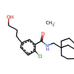 O=C(NCC12CCCC(CCC1)C2)c1cc(CCCO)ccc1Cl.[CH2]